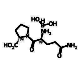 NC(=O)CC[C@H](N)C(=O)N1CCC[C@H]1C(=O)O.OBO